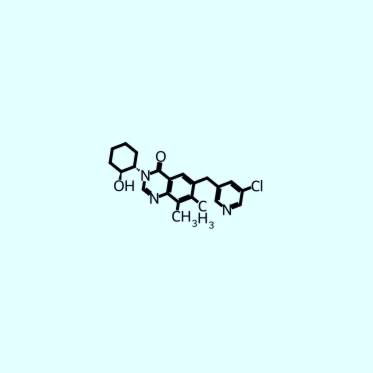 Cc1c(Cc2cncc(Cl)c2)cc2c(=O)n([C@H]3CCCC[C@@H]3O)cnc2c1C